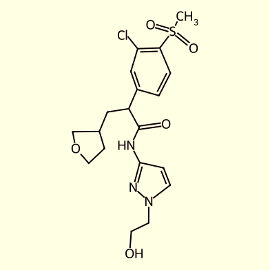 CS(=O)(=O)c1ccc(C(CC2CCOC2)C(=O)Nc2ccn(CCO)n2)cc1Cl